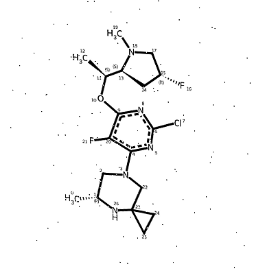 C[C@@H]1CN(c2nc(Cl)nc(O[C@@H](C)[C@@H]3C[C@@H](F)CN3C)c2F)CC2(CC2)N1